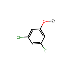 Clc1cc(Cl)cc([O][Zr])c1